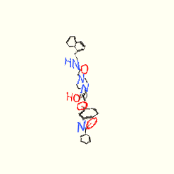 O=C(CN1CCN(C[C@@H](O)COc2ccc3oc(-c4ccccc4)nc3c2)CC1)NCCc1cccc2ccccc12